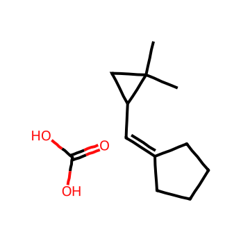 CC1(C)CC1C=C1CCCC1.O=C(O)O